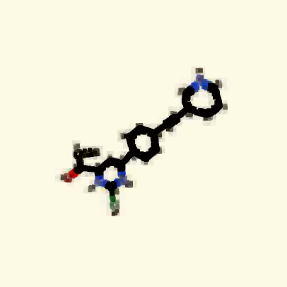 COC(=O)c1cc(-c2ccc(C#Cc3cccnc3)cc2)nc(Cl)n1